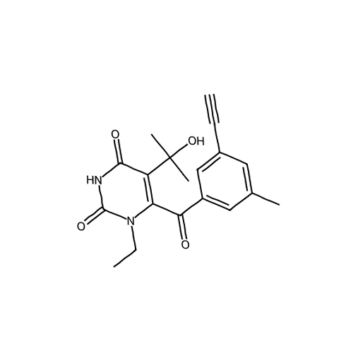 C#Cc1cc(C)cc(C(=O)c2c(C(C)(C)O)c(=O)[nH]c(=O)n2CC)c1